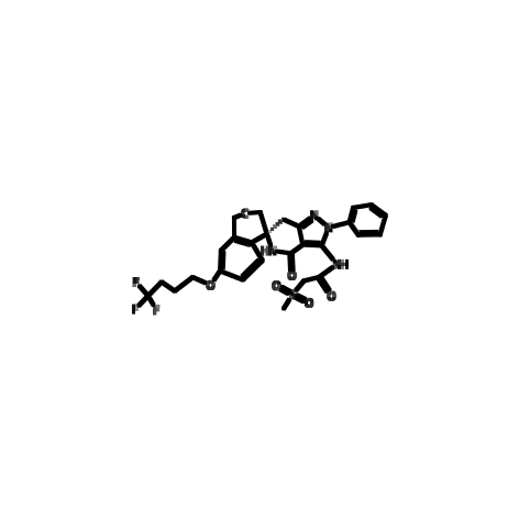 CS(=O)(=O)CC(=O)Nc1c2c(nn1-c1ccccc1)C[C@]1(CCCc3cc(OCCCC(F)(F)F)ccc31)NC2=O